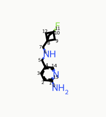 Nc1ccc(CNCC23CC(F)(C2)C3)cn1